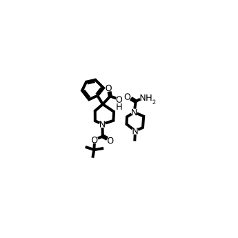 CC(C)(C)OC(=O)N1CCC(C(=O)O)(c2ccccc2)CC1.CN1CCN(C(N)=O)CC1